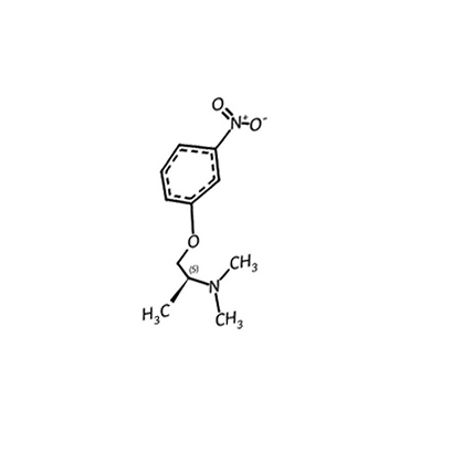 C[C@@H](COc1cccc([N+](=O)[O-])c1)N(C)C